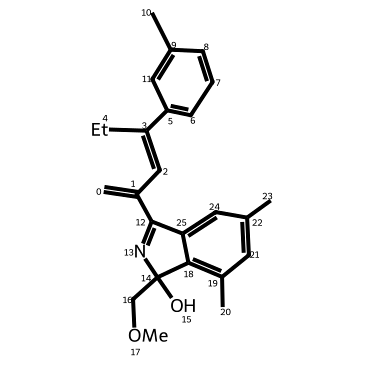 C=C(/C=C(\CC)c1cccc(C)c1)C1=NC(O)(COC)c2c(C)cc(C)cc21